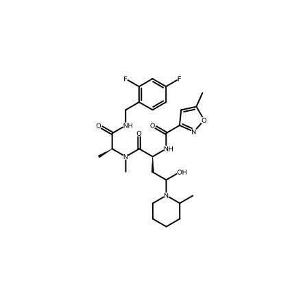 Cc1cc(C(=O)N[C@@H](CC(O)N2CCCCC2C)C(=O)N(C)[C@@H](C)C(=O)NCc2ccc(F)cc2F)no1